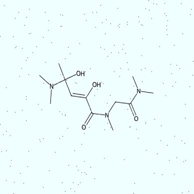 CN(C)C(=O)CN(C)C(=O)/C(O)=C/C(C)(O)N(C)C